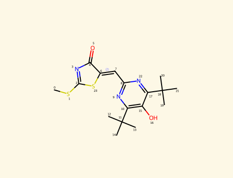 CSC1=NC(=O)/C(=C/c2nc(C(C)(C)C)c(O)c(C(C)(C)C)n2)S1